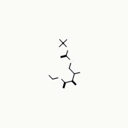 C=C(C(=O)OCC)C(O)CNC(=O)OC(C)(C)C